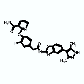 Cc1n[nH]c(C)c1-c1ccc2sc(NC(=O)Cc3ccc(Oc4ncccc4C(N)=O)c(F)c3)nc2c1